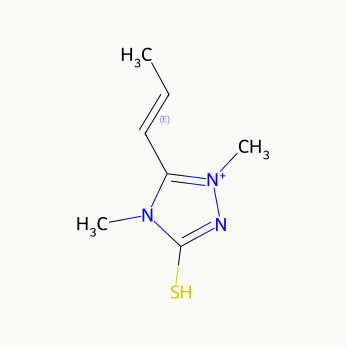 C/C=C/c1n(C)c(S)n[n+]1C